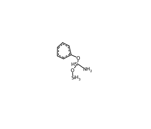 N[SiH](O[SiH3])Oc1ccccc1